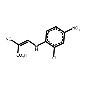 N#CC(=CNc1ccc([N+](=O)[O-])cc1Cl)C(=O)O